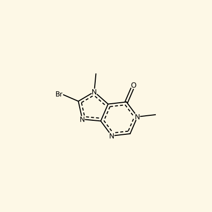 Cn1cnc2nc(Br)n(C)c2c1=O